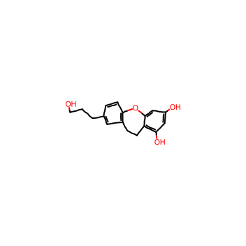 OCCCc1ccc2c(c1)CCc1c(O)cc(O)cc1O2